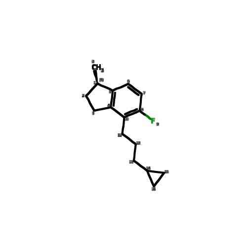 C[C@@H]1CCc2c1ccc(F)c2CCCC1CC1